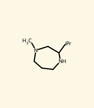 CC(C)C1CN(C)CCCN1